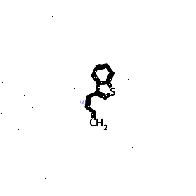 C=C/C=C\c1csc2ccccc12